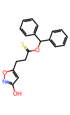 Oc1cc(CCC(=S)OC(c2ccccc2)c2ccccc2)on1